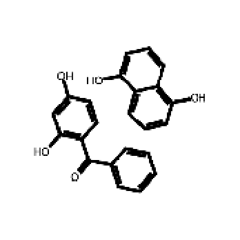 O=C(c1ccccc1)c1ccc(O)cc1O.Oc1cccc2c(O)cccc12